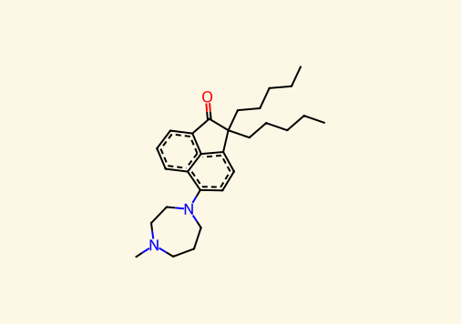 CCCCCC1(CCCCC)C(=O)c2cccc3c(N4CCCN(C)CC4)ccc1c23